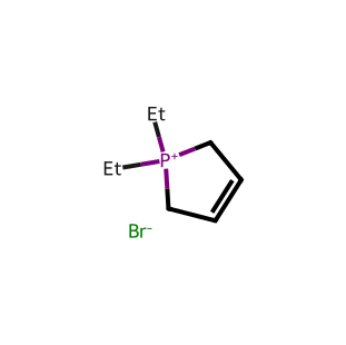 CC[P+]1(CC)CC=CC1.[Br-]